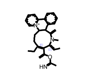 C=C(OC(C)=N)/C1=C(\CC)CCC2C(C(=C)N(C)\C1=C/C)c1ccccc1-c1cccc[n+]12